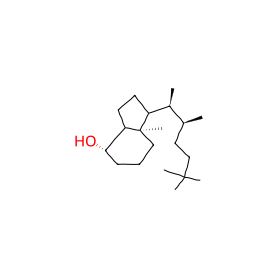 C[C@H](C1CCC2[C@@H](O)CCC[C@]12C)[C@@H](C)CCC(C)(C)C